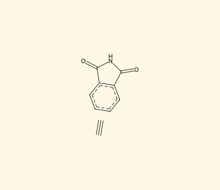 C#C.O=C1NC(=O)c2ccccc21